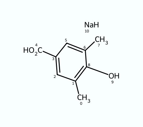 Cc1cc(C(=O)O)cc(C)c1O.[NaH]